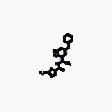 C=C/C(=C\C(C)=C(/C)NC(=O)c1cnc(N)s1)Oc1ccccc1